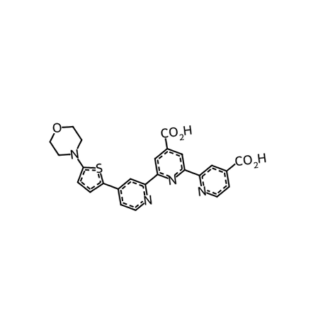 O=C(O)c1ccnc(-c2cc(C(=O)O)cc(-c3cc(-c4ccc(N5CCOCC5)s4)ccn3)n2)c1